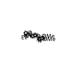 CCOc1ccccc1C(=O)Nc1ccc2cc(Oc3ccnc4cc(OC)c(OC)cc34)ccc2c1